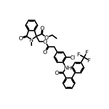 CCOC(=O)C1(COC(=O)Cc2ccc(NC(=O)c3ccccc3-c3ccc(C(F)(F)F)cc3)c(Cl)c2)c2ccccc2C(=O)N1C